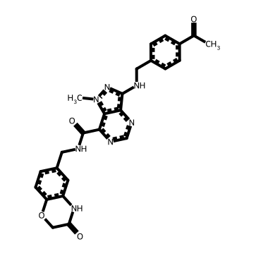 CC(=O)c1ccc(CNc2nn(C)c3c(C(=O)NCc4ccc5c(c4)NC(=O)CO5)ncnc23)cc1